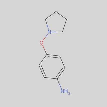 Nc1ccc(ON2CCCC2)cc1